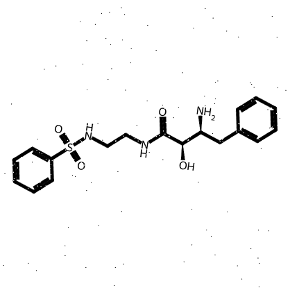 N[C@@H](Cc1ccccc1)[C@@H](O)C(=O)NCCNS(=O)(=O)c1ccccc1